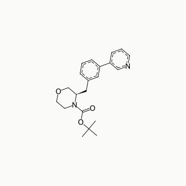 CC(C)(C)OC(=O)N1CCOC[C@H]1Cc1cccc(-c2cccnc2)c1